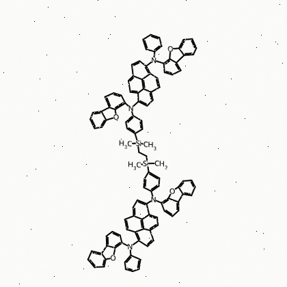 C[Si](C)(CC[Si](C)(C)c1ccc(N(c2ccc3ccc4c(N(c5ccccc5)c5cccc6c5oc5ccccc56)ccc5ccc2c3c54)c2cccc3c2oc2ccccc23)cc1)c1ccc(N(c2ccc3ccc4c(N(c5ccccc5)c5cccc6c5oc5ccccc56)ccc5ccc2c3c54)c2cccc3c2oc2ccccc23)cc1